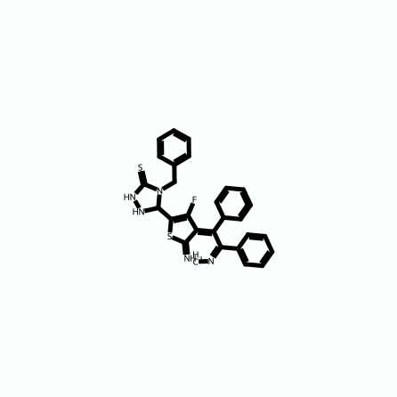 C/N=C(\C(=C1/C(=N)SC(C2NNC(=S)N2Cc2ccccc2)=C1F)C1C=C=CC=C1)c1ccccc1